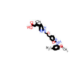 COc1ccc(C)cc1Nc1nc2ccc(CC(=O)CNc3ccc(C(C)CC(=O)O)cn3)cc2o1